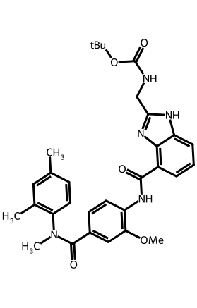 COc1cc(C(=O)N(C)c2ccc(C)cc2C)ccc1NC(=O)c1cccc2[nH]c(CNC(=O)OC(C)(C)C)nc12